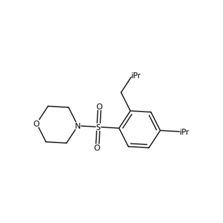 CC(C)Cc1cc(C(C)C)ccc1S(=O)(=O)N1CCOCC1